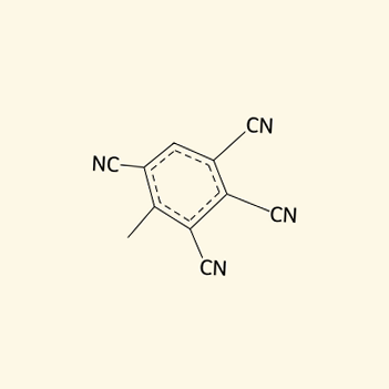 Cc1c(C#N)cc(C#N)c(C#N)c1C#N